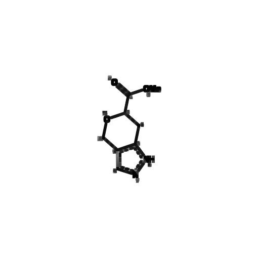 COC(=O)C1Cc2[nH]ncc2CO1